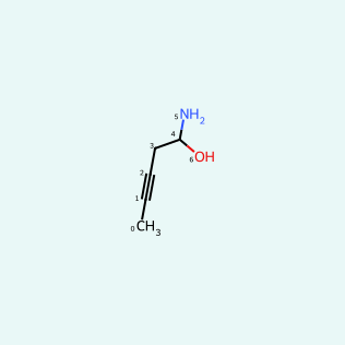 CC#CCC(N)O